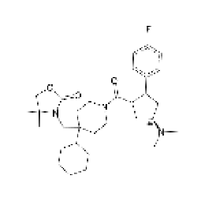 CN(C)[C@H]1CC(C(=O)N2CCC(CN3C(=O)OCC3(C)C)(C3CCCCC3)CC2)C(c2ccc(F)cc2)C1